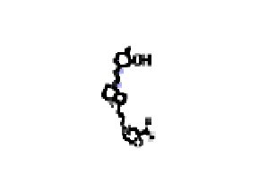 C=C1CC/C(=C/C=C2\CCC[C@]3(C)C(CCCN4CCOC(C(F)F)C4)CCC23)CC1O